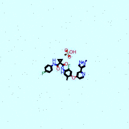 CS(=O)(=O)O.Cc1cc(NC(=O)C2(C(=O)Nc3ccc(F)cc3)CC2)c(F)cc1Oc1ccnc(-c2cnn(C)c2)c1